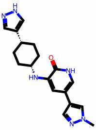 Cn1cc(-c2c[nH]c(=O)c(N[C@H]3CC[C@@H](c4cn[nH]c4)CC3)c2)cn1